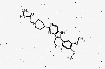 CCc1c(-c2ccc(OC)c(OC)c2)[nH]c2cnc(C3CCN(CC(=O)NC)CC3)nc12